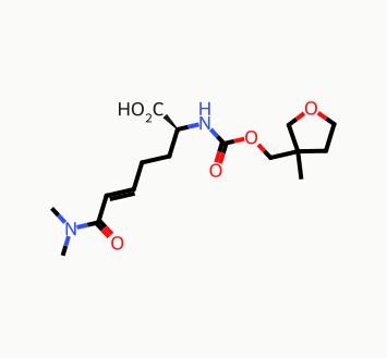 CN(C)C(=O)/C=C/CC[C@H](NC(=O)OCC1(C)CCOC1)C(=O)O